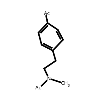 CC(=O)c1ccc(CCN(C)C(C)=O)cc1